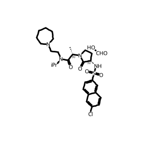 CC(C)N(CCN1CCCCCC1)C(=O)[C@H](C)N1CC[C@H](NS(=O)(=O)c2ccc3cc(Cl)ccc3c2)C1=O.O=CO